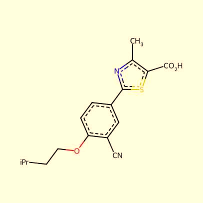 Cc1nc(-c2ccc(OCCC(C)C)c(C#N)c2)sc1C(=O)O